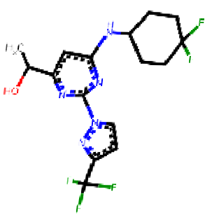 CC(O)c1cc(NC2CCC(F)(F)CC2)nc(-n2ccc(C(F)(F)F)n2)n1